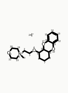 C[N+]1(CCOC2CCCC3Oc4ccccc4OC23)CCOCC1.[I-]